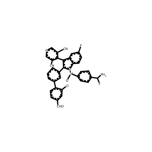 N#Cc1cncc(C#N)c1-c1c(-c2cccc(-c3ccc(C=O)cc3Cl)c2)n([S+]([O-])c2ccc(C(F)P)cc2)c2ccc(F)cc12